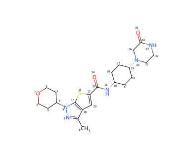 Cc1nn(C2CCOCC2)c2sc(C(=O)N[C@H]3CC[C@@H](N4CCNC(=O)C4)CC3)cc12